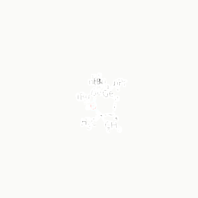 CC[CH2][Ge]1([CH2]CC)[CH2]CC(C)(C)[O][Ge]1([C](C)(C)C)[C](C)(C)C